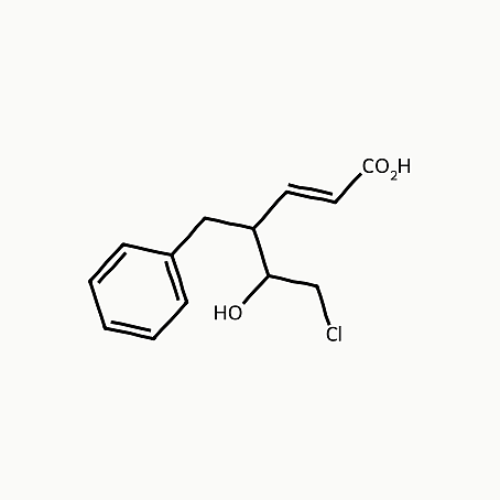 O=C(O)/C=C/C(Cc1ccccc1)C(O)CCl